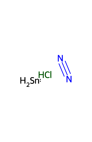 Cl.N#N.[SnH2]